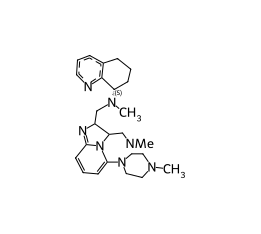 CNCC1C(CN(C)[C@H]2CCCc3cccnc32)N=C2C=CC=C(N3CCN(C)CC3)N21